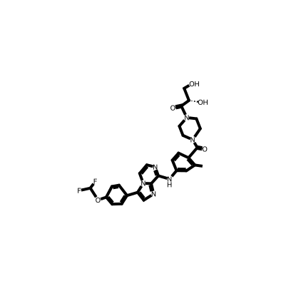 Cc1cc(Nc2nccn3c(-c4ccc(OC(F)F)cc4)cnc23)ccc1C(=O)N1CCN(C(=O)[C@@H](O)CO)CC1